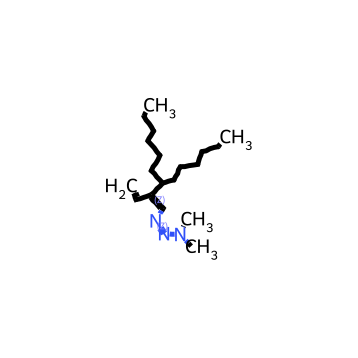 C=C/C(=C\N=N/N(C)C)C(CCCCCC)CCCCCC